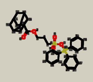 O=C(OCCCS(=O)(=O)OS(c1ccccc1)(c1ccccc1)c1ccccc1)C12CC3CC(CC(C3)C1)C2